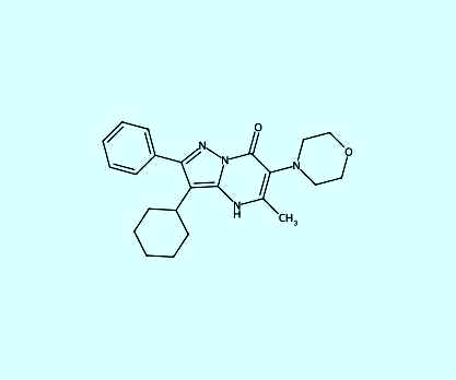 Cc1[nH]c2c(C3CCCCC3)c(-c3ccccc3)nn2c(=O)c1N1CCOCC1